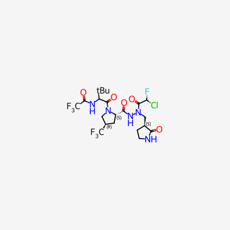 CC(C)(C)C(NC(=O)C(F)(F)F)C(=O)N1C[C@H](C(F)(F)F)C[C@H]1C(=O)NN(C[C@@H]1CCNC1=O)C(=O)C(F)Cl